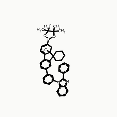 CC1(C)OB(C2=CC=C3c4ccc(-c5cccc(-n6c(-c7ccccc7)nc7ccccc76)c5)cc4C4(CCCCC4)C3(C)C2)OC1(C)C